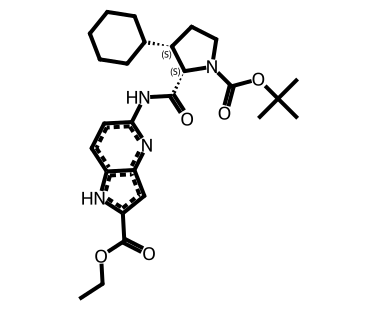 CCOC(=O)c1cc2nc(NC(=O)[C@@H]3[C@H](C4CCCCC4)CCN3C(=O)OC(C)(C)C)ccc2[nH]1